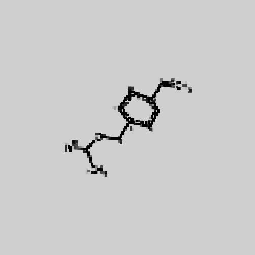 C=Cc1ccc(COC(C)C(C)C)cc1